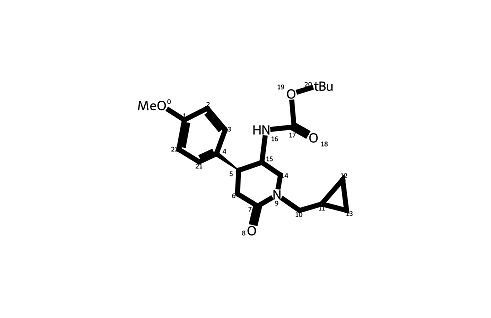 COc1ccc([C@@H]2CC(=O)N(CC3CC3)CC2NC(=O)OC(C)(C)C)cc1